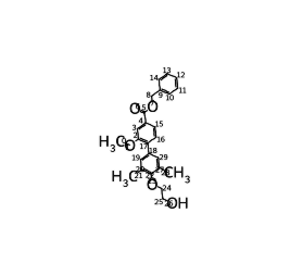 COc1cc(C(=O)OCc2ccccc2)ccc1-c1cc(C)c(OCCO)c(C)c1